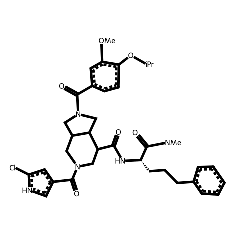 CNC(=O)[C@H](CCCc1ccccc1)NC(=O)C1CN(C(=O)c2c[nH]c(Cl)c2)CC2CN(C(=O)c3ccc(OC(C)C)c(OC)c3)CC21